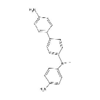 CN(c1ccc(N)cc1)c1ccc(-c2ccc(N)cc2)cc1